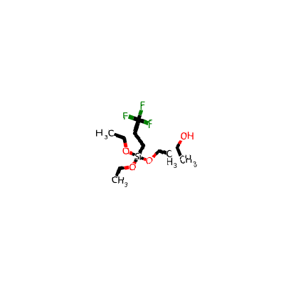 CCO.CCO[Si](CCC(F)(F)F)(OCC)OCC